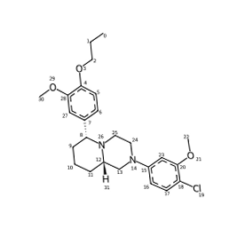 CCCOc1ccc([C@H]2CCC[C@H]3CN(c4ccc(Cl)c(OC)c4)CCN32)cc1OC